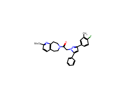 COc1ccc2c(n1)CCN(C(=O)Cn1nc(-c3ccc(F)c(C)c3)cc1-c1ccccc1)CC2